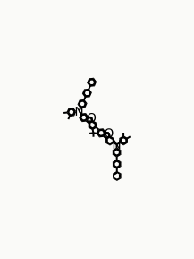 Cc1ccc(N(c2ccc(-c3ccc(-c4ccccc4)cc3)cc2)c2ccc3c(c2)oc2cc4c(cc23)C(C)(C)c2cc3c5c(oc3cc2-4)=CC(N(c2ccc(-c3ccc(C4=CCCC=C4)cc3)cc2)c2ccc(C)c(C)c2)CC=5)cc1C